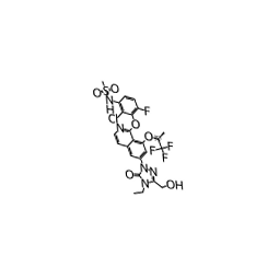 CCn1c(CO)nn(-c2cc(O[C@@H](C)C(F)(F)F)c3c(Oc4c(F)ccc(NS(C)(=O)=O)c4Cl)nccc3c2)c1=O